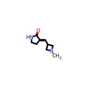 CN1CC(/C=C2\CCNC2=O)C1